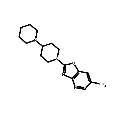 Cc1cnc2nc(N3CCC(N4CCCCC4)CC3)oc2c1